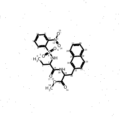 CCC(NS(=O)(=O)c1ccccc1[N+](=O)[O-])C(=O)NC(Cc1ccc2ccccc2c1)C(=O)OC